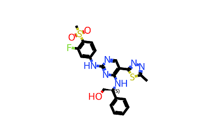 Cc1nnc(-c2cnc(Nc3ccc(S(C)(=O)=O)c(F)c3)nc2N[C@H](CO)c2ccccc2)s1